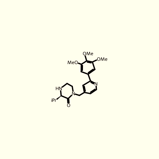 COc1cc(-c2cc(CN3CCN[C@H](C(C)C)C3=O)ccn2)cc(OC)c1OC